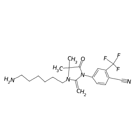 C=C1N(c2ccc(C#N)c(C(F)(F)F)c2)C(=O)C(C)(C)N1CCCCCCN